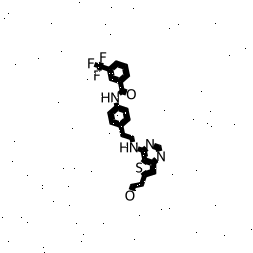 O=CCc1cc2ncnc(NCCc3ccc(NC(=O)c4cccc(C(F)(F)F)c4)cc3)c2s1